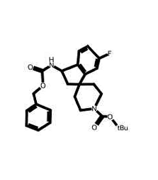 CC(C)(C)OC(=O)N1CCC2(CC1)CC(NC(=O)OCc1ccccc1)c1ccc(F)cc12